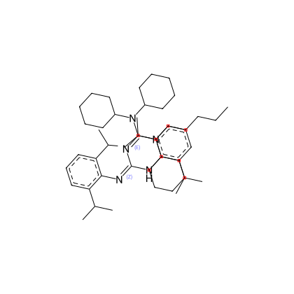 CCCCCN(/C(=N\C(=N/c1c(C(C)C)cccc1C(C)C)Nc1c(C(C)C)cccc1C(C)C)N(C1CCCCC1)C1CCCCC1)C1CCCCC1